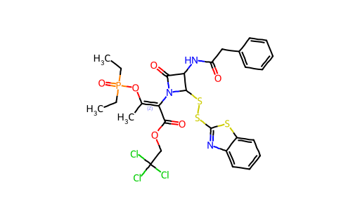 CCP(=O)(CC)O/C(C)=C(/C(=O)OCC(Cl)(Cl)Cl)N1C(=O)C(NC(=O)Cc2ccccc2)C1SSc1nc2ccccc2s1